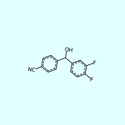 N#Cc1ccc(C(O)c2ccc(F)c(F)c2)cc1